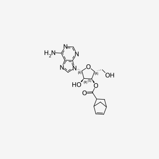 Nc1ncnc2c1ncn2[C@@H]1O[C@H](CO)[C@@H](OC(=O)C2CC3C=CC2C3)[C@H]1O